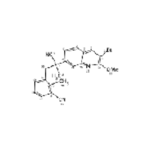 CCc1cc2ccc(C(C)(C#N)Cc3cccc(C#N)c3C)cc2nc1OC